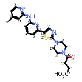 Cc1ccnc(Nc2cccc(-c3cnc(N4CCN(C(=O)CCC(=O)O)CC4)s3)n2)c1